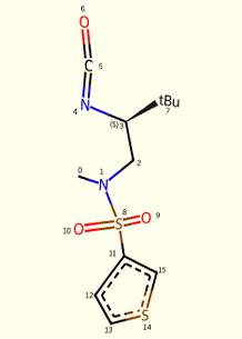 CN(C[C@@H](N=C=O)C(C)(C)C)S(=O)(=O)c1ccsc1